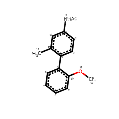 CC(=O)Nc1ccc(-c2ccccc2OC(F)(F)F)c(C)c1